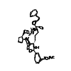 CC(=O)Oc1cccc(C(=O)N[C@@H](CCCNC(=O)OCc2ccccc2)C(=O)N[C@H]2CCC[C@H]2C(=O)O)c1